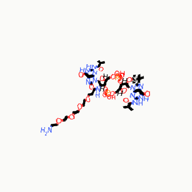 CC(C)C(=O)Nc1nc2c(ncn2[C@@H]2O[C@@H]3COP(=O)(O)O[C@@H]4C(O[Si](C)(C)C(C)(C)C)[C@H](n5cnc6c(=O)[nH]c(NC(=O)C(C)C)nc65)O[C@@H]4COP(=O)(O)O[C@@H]3C2NC(=O)CCOCCOCCOCCOCCN)c(=O)[nH]1